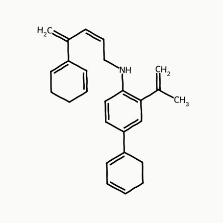 C=C(/C=C\CNc1ccc(C2=CC=CCC2)cc1C(=C)C)C1=CCCC=C1